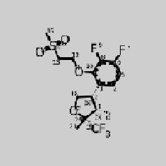 C[C@H]1[C@@H](c2ccc(F)c(F)c2OCCS(C)(=O)=O)CO[C@@]1(C)C(F)(F)F